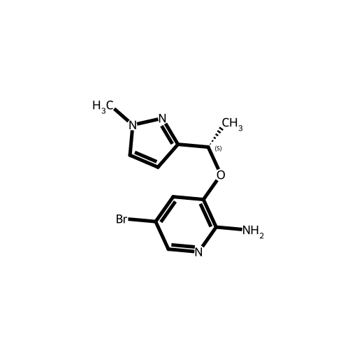 C[C@H](Oc1cc(Br)cnc1N)c1ccn(C)n1